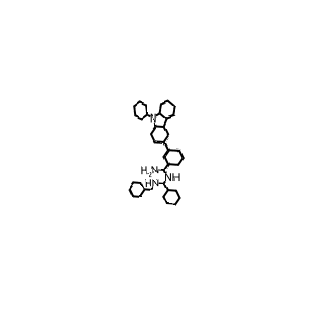 NC(NC(NCC1CCCCC1)C1CCCCC1)C1CCCC(C2CCC3C(C2)C2CCCCC2N3C2CCCCC2)C1